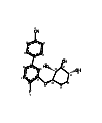 N#Cc1ccc(-c2cnc(F)c(O[C@@H]3SC[C@@H](O)[C@H](O)[C@H]3O)c2)cc1